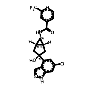 O=C(N[C@H]1[C@@H]2C[C@](O)(c3cc(Cl)cc4[nH]ncc34)C[C@@H]21)c1ccnc(C(F)(F)F)c1